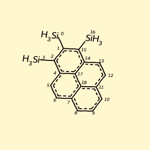 [SiH3]c1c([SiH3])c2ccc3cccc4ccc(c1[SiH3])c2c34